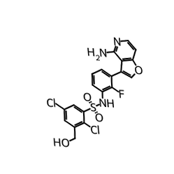 Nc1nccc2occ(-c3cccc(NS(=O)(=O)c4cc(Cl)cc(CO)c4Cl)c3F)c12